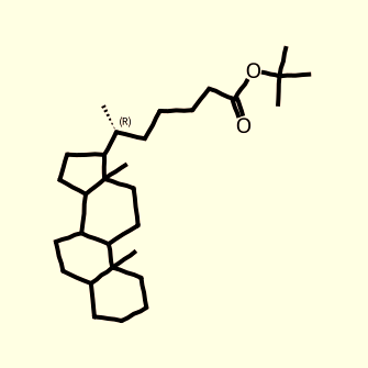 C[C@H](CCCCC(=O)OC(C)(C)C)C1CCC2C3CCC4CCCCC4(C)C3CCC21C